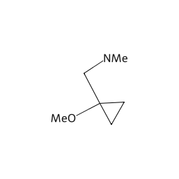 CNCC1(OC)CC1